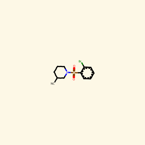 N#CC1CCCN(S(=O)(=O)c2ccccc2Br)C1